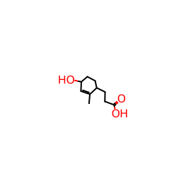 CC1=CC(O)CCC1CCC(=O)O